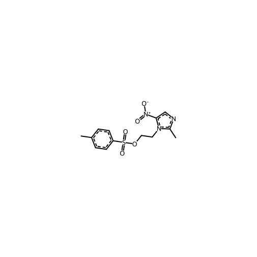 Cc1ccc(S(=O)(=O)OCCn2c([N+](=O)[O-])cnc2C)cc1